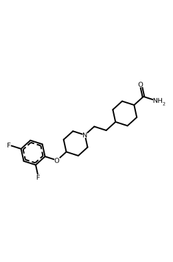 NC(=O)C1CCC(CCN2CCC(Oc3ccc(F)cc3F)CC2)CC1